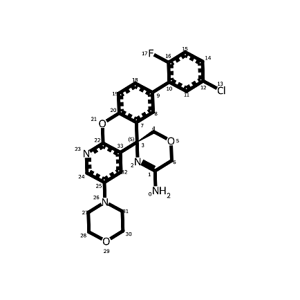 NC1=N[C@@]2(COC1)c1cc(-c3cc(Cl)ccc3F)ccc1Oc1ncc(N3CCOCC3)cc12